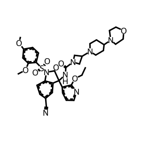 CCOc1ncccc1C1(NC(=O)N2CC(N3CCC(N4CCOCC4)CC3)C2)C(=O)N(S(=O)(=O)c2ccc(OC)cc2OC)c2ccc(C#N)cc21